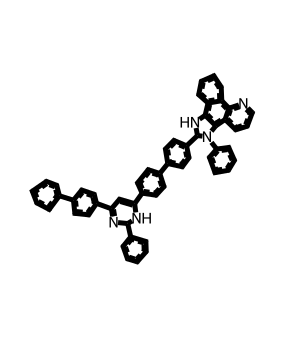 C1=C(c2ccc(-c3ccc(C4Nc5c(c6cccnc6c6ccccc56)N4c4ccccc4)cc3)cc2)NC(c2ccccc2)N=C1c1ccc(-c2ccccc2)cc1